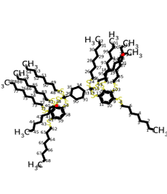 CCCCCCCCSc1ccc(SC(SCCCCCCCC)(SCCCCCCCC)[C@H]2CC[C@H](C(SCCCCCCCC)(SCCCCCCCC)Sc3ccc(SCCCCCCCC)c(SCCCCCCCC)c3SCCCCCCCC)CC2)c(SCCCCCCCC)c1SCCCCCCCC